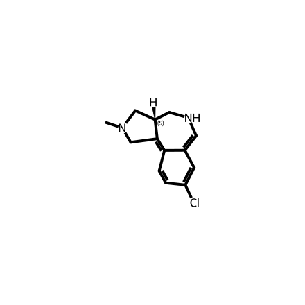 CN1CC2=c3ccc(Cl)cc3=CNC[C@H]2C1